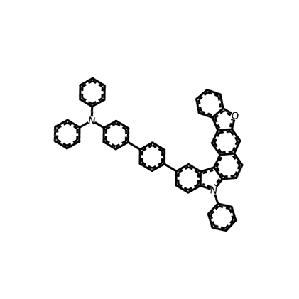 c1ccc(N(c2ccccc2)c2ccc(-c3ccc(-c4ccc5c(c4)c4c6cc7c(cc6ccc4n5-c4ccccc4)oc4ccccc47)cc3)cc2)cc1